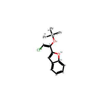 CC(C)[Si](O/C(=C/Cl)c1cc2ccccc2o1)(C(C)C)C(C)C